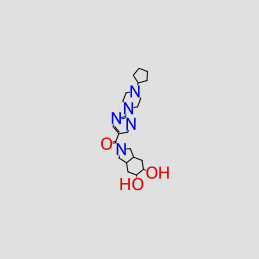 O=C(c1cnc(N2CCN(C3CCCC3)CC2)nc1)N1CC2CC(O)C(O)CC2C1